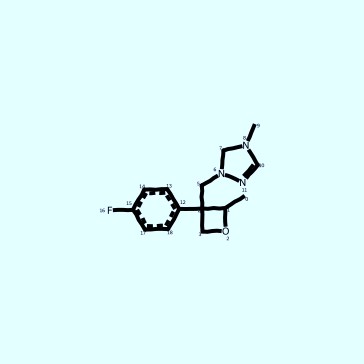 CC1OCC1(CN1CN(C)C=N1)c1ccc(F)cc1